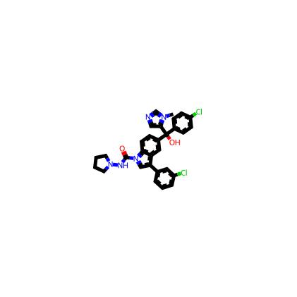 Cn1cncc1C(O)(c1ccc(Cl)cc1)c1ccc2c(c1)c(-c1cccc(Cl)c1)cn2C(=O)NN1CCCC1